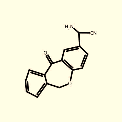 N#CC(N)c1ccc2c(c1)C(=O)c1ccccc1CO2